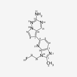 Cc1nc2ccc(-c3ccn4nc(N)ncc34)nc2n1CCF